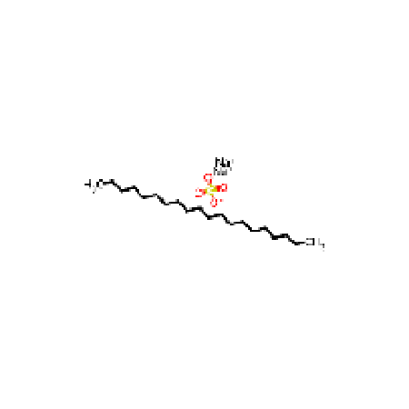 CCCCCCCCCCCCCCCCCCCC.O=S(=O)([O-])[O-].[Na+].[Na+]